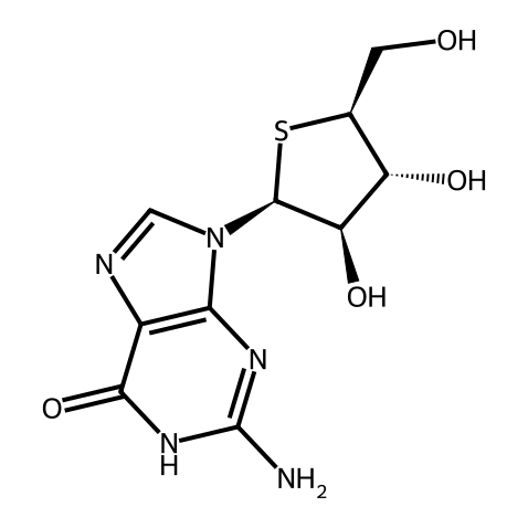 Nc1nc2c(ncn2[C@H]2S[C@@H](CO)[C@H](O)[C@H]2O)c(=O)[nH]1